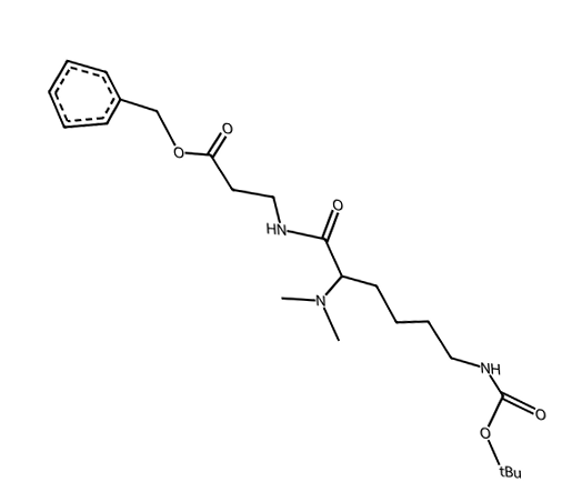 CN(C)C(CCCCNC(=O)OC(C)(C)C)C(=O)NCCC(=O)OCc1ccccc1